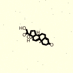 C[C@]12CCC(=O)C=C1CC[C@@H]1C2=CC[C@@]2(C)C1CC[C@]2(O)C(=O)CO